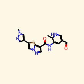 CC1NC=C(C=O)C=C1NC(=O)c1cnn2cc(-c3cnn(C)c3)sc12